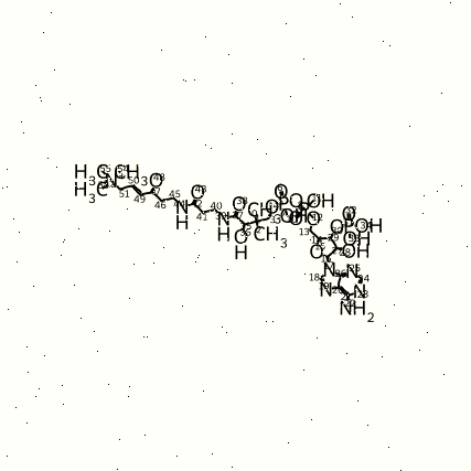 CC(C)(COP(=O)(O)OP(=O)(O)OCC1OC(n2cnc3c(N)ncnc32)C(O)C1OP(=O)(O)O)C(O)C(=O)NCCC(=O)NCCC(=O)/C=C/C[N+](C)(C)C